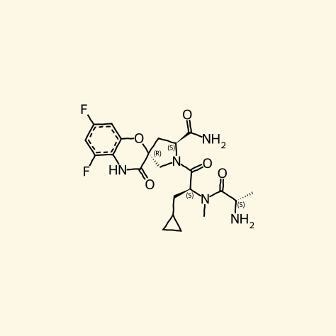 C[C@H](N)C(=O)N(C)[C@@H](CC1CC1)C(=O)N1C[C@@]2(C[C@H]1C(N)=O)Oc1cc(F)cc(F)c1NC2=O